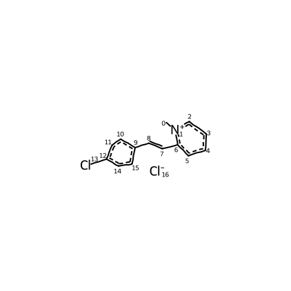 C[n+]1ccccc1C=Cc1ccc(Cl)cc1.[Cl-]